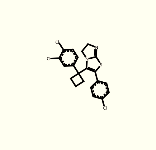 Clc1ccc(C2=C(C3(c4ccc(Cl)c(Cl)c4)CCC3)N3CCN=C3S2)cc1